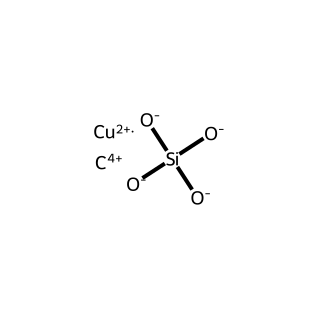 [C+4].[Cu+2].[O-][Si]([O-])([O-])[O-]